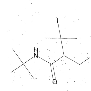 CCC(C(=O)NC(C)(C)C)C(C)(C)I